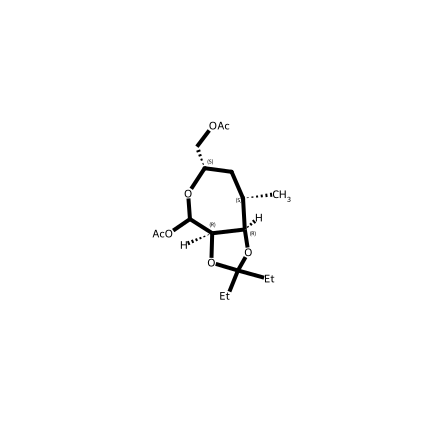 CCC1(CC)O[C@@H]2[C@@H](C)C[C@@H](COC(C)=O)OC(OC(C)=O)[C@@H]2O1